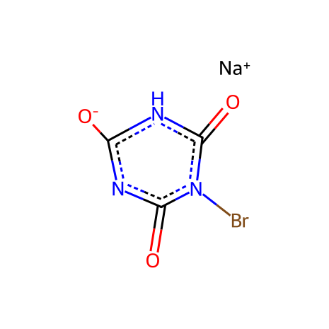 O=c1nc([O-])[nH]c(=O)n1Br.[Na+]